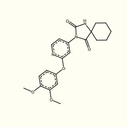 COc1ccc(Oc2cc(N3C(=O)NC4(CCCCC4)C3=O)ccn2)cc1OC